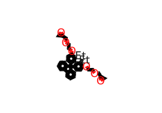 CCc1cc(C2(c3ccc(OCCOCC4CO4)c(CC)c3)c3ccccc3-c3ccccc32)ccc1OCCOCC1CO1